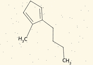 CCCCC1=[C]CC=C1C